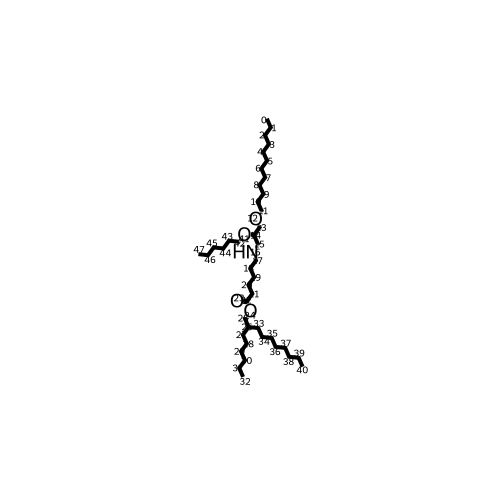 CCCCCCCCCCCCOCC(CNCCCCCC(=O)OCC(CCCCCC)CCCCCCCC)OCCCCCC